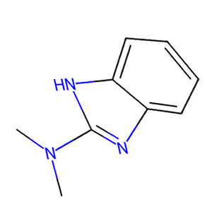 CN(C)c1nc2ccccc2[nH]1